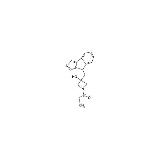 CC[S+]([O-])N1CC(O)(CC2c3ccccc3-c3cncn32)C1